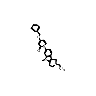 Cn1c2c(c3ccc(-n4ccc(OCc5ccccc5)cc4=O)cc31)CN(CC(F)(F)F)CC2